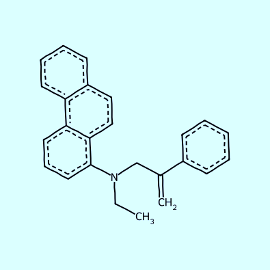 C=C(CN(CC)c1cccc2c1ccc1ccccc12)c1ccccc1